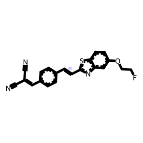 N#CC(C#N)=Cc1ccc(/C=C/c2nc3cc(OCCF)ccc3s2)cc1